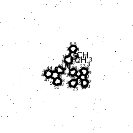 CS1(C)c2ccccc2-c2ccc(N(c3ccc(C4(c5ccccc5)c5ccccc5-c5ccccc54)cc3)c3ccc4c5ccccc5c5ccccc5c4c3)cc21